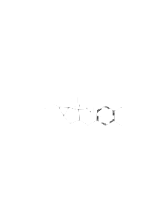 Cc1cc(CC2CC3C(C(=O)O)C3C2(N)C(=O)O)ccc1F